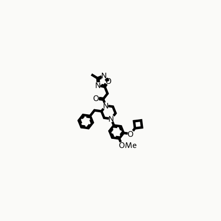 COc1ccc(N2CCN(C(=O)Cc3nc(C)no3)C(Cc3ccccc3)C2)cc1OC1CCC1